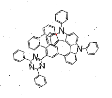 c1ccc(-c2nc(-c3ccccc3)nc(-c3cc(-c4cccc5c4c4c6c7ccccc7n(-c7ccccc7)c6ccc4n5-c4ccccc4)cc4c5ccccc5c5ccccc5c34)n2)cc1